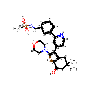 CC1(C)CC(=O)c2sc(N3CCOCC3)c(-c3ccnc(-c4cccc(CNS(C)(=O)=O)c4)c3)c2C1